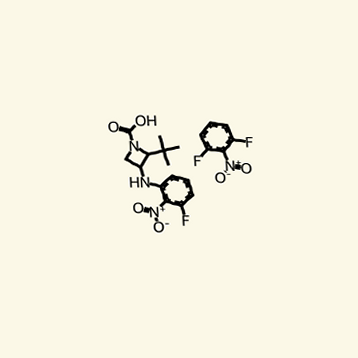 CC(C)(C)C1C(Nc2cccc(F)c2[N+](=O)[O-])CN1C(=O)O.O=[N+]([O-])c1c(F)cccc1F